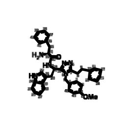 COc1ccc(Cn2c(CCc3ccccc3)nnc2[C@@H](Cc2c[nH]c3ccccc23)NC(=O)[C@@H](N)Cc2ccccc2)cc1